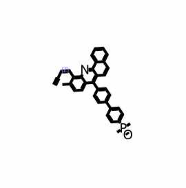 C#C/C=C\c1c(C)ccc2c(-c3ccc(-c4ccc(P(C)(C)=O)cc4)cc3)c3ccc4ccccc4c3nc12